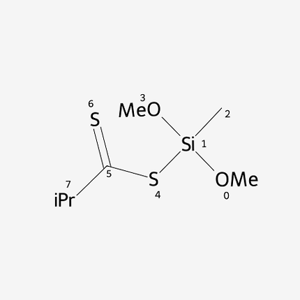 CO[Si](C)(OC)SC(=S)C(C)C